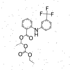 CCOC(=O)OC(C)OC(=O)c1ccccc1Nc1cccc(C(F)(F)F)c1